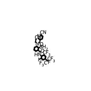 Bc1c(C(=O)Nc2c(I)cc(C(F)(C(F)(F)F)C(F)(F)F)cc2C(F)(F)F)cccc1N(CC#C)C(=O)c1ccc(C#N)nc1